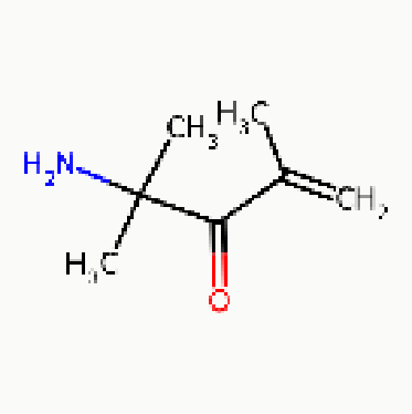 C=C(C)C(=O)C(C)(C)N